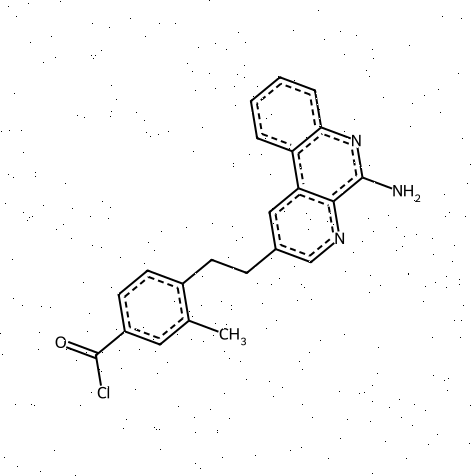 Cc1cc(C(=O)Cl)ccc1CCc1cnc2c(N)nc3ccccc3c2c1